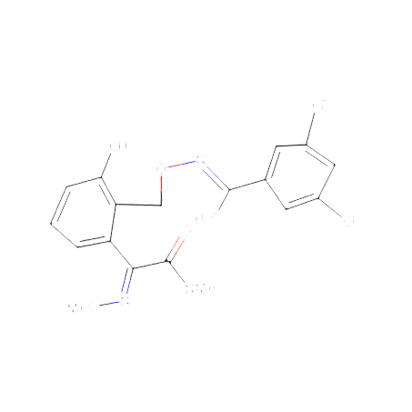 CNC(=O)/C(=N/OC)c1cccc(C)c1CO/N=C(\C)c1cc(C(F)(F)F)cc(C(F)(F)F)c1